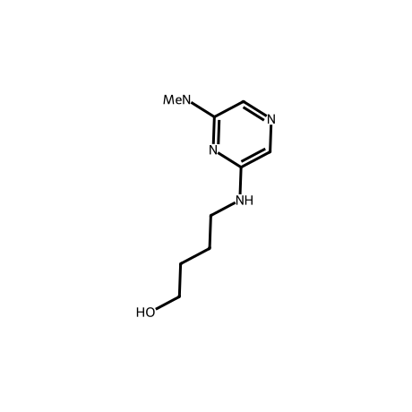 CNc1cncc(NCCCCO)n1